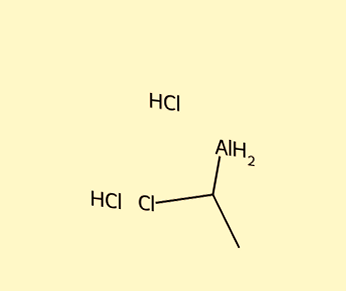 C[CH]([AlH2])Cl.Cl.Cl